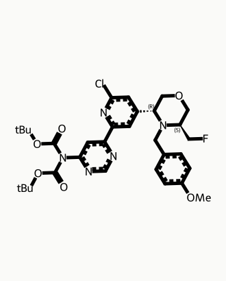 COc1ccc(CN2[C@H](CF)COC[C@H]2c2cc(Cl)nc(-c3cc(N(C(=O)OC(C)(C)C)C(=O)OC(C)(C)C)ncn3)c2)cc1